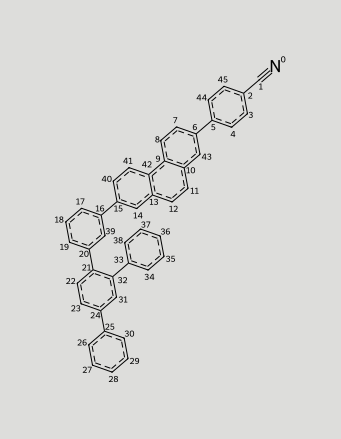 N#Cc1ccc(-c2ccc3c(ccc4cc(-c5cccc(-c6ccc(-c7ccccc7)cc6-c6ccccc6)c5)ccc43)c2)cc1